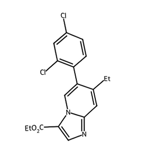 CCOC(=O)c1cnc2cc(CC)c(-c3ccc(Cl)cc3Cl)cn12